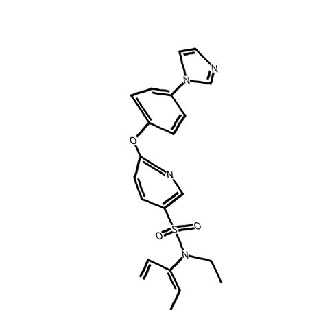 C=C/C(=C\C)N(CC)S(=O)(=O)c1ccc(Oc2ccc(-n3ccnc3)cc2)nc1